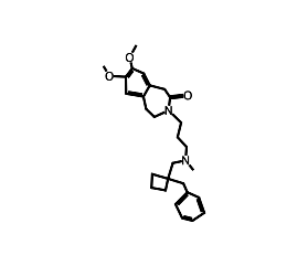 COc1cc2c(cc1OC)CC(=O)N(CCCN(C)CC1(Cc3ccccc3)CCC1)CC2